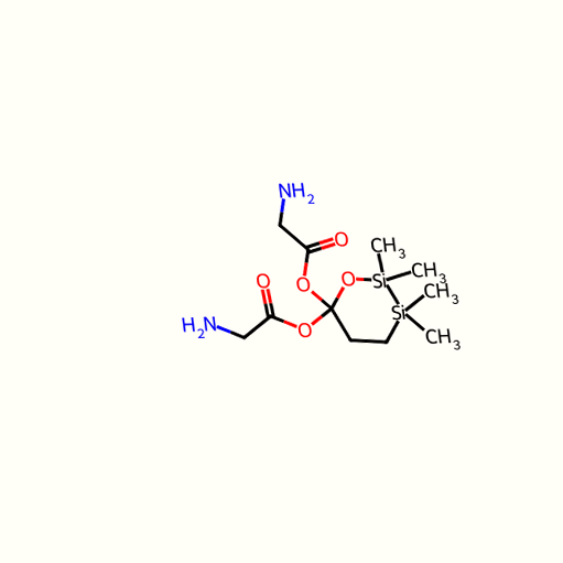 C[Si]1(C)CCC(OC(=O)CN)(OC(=O)CN)O[Si]1(C)C